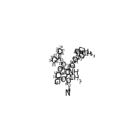 CC1=C(C(=O)OCCC#N)C(c2cccc(Cl)c2)C(C(=O)OCCC(c2ccccc2)c2ccccc2)=C(COCCOCC2COC(C)(C)O2)N1